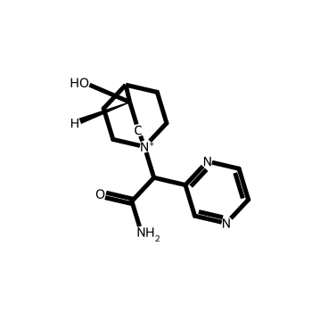 NC(=O)C(c1cnccn1)[N+]12CCC(CC1)[C@@H](O)C2